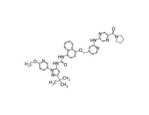 COc1ccc(-n2nc(C(C)(C)C)cc2NC(=O)Nc2ccc(OCc3ccnc(Nc4cnc(C(=O)N5CCCC5)cn4)c3)c3ccccc23)cn1